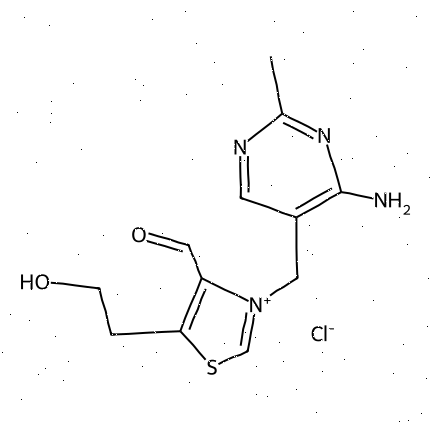 Cc1ncc(C[n+]2csc(CCO)c2C=O)c(N)n1.[Cl-]